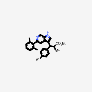 CCCC(C(=O)OCC)C(c1ccc(C(C)C)cc1)c1c[nH]c2cnc(-c3c(C)cccc3C)cc12